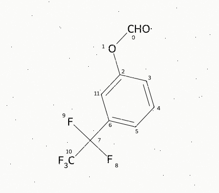 O=[C]Oc1cccc(C(F)(F)C(F)(F)F)c1